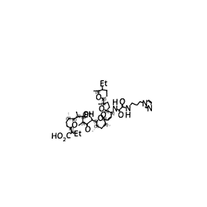 CCC1CC[C@H]([C@]2(C)CC[C@@]3(O[C@]4(C=C[C@H]3NC(=O)C(=O)NCCCn3ccnc3)O[C@H](C(CC)C(=O)[C@@H](C)[C@@H](O)[C@H](C)[C@@H]3O[C@@H]([C@@H](CC)C(=O)O)CC[C@@H]3C)[C@@H](C)C[C@H]4C)O2)O[C@H]1C